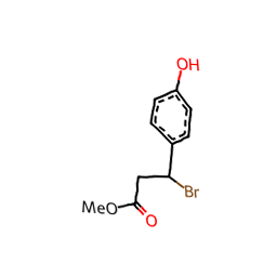 COC(=O)CC(Br)c1ccc(O)cc1